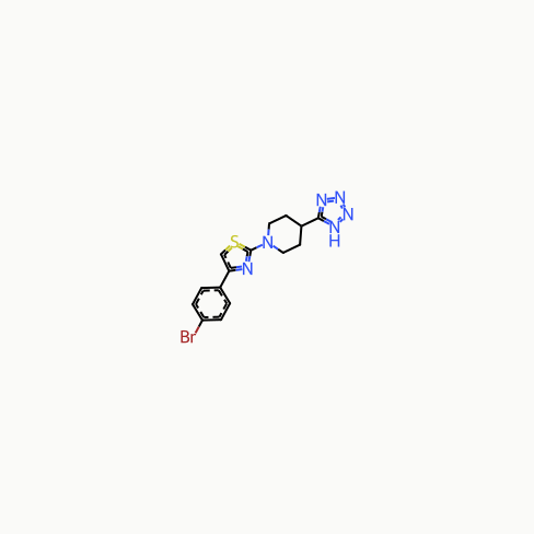 Brc1ccc(-c2csc(N3CCC(c4nnn[nH]4)CC3)n2)cc1